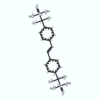 CCC(CC)(c1ccc(/C=C/c2ccc(C(CC)(CC)P(=O)(O)O)cc2)cc1)P(=O)(O)O